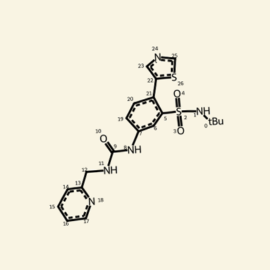 CC(C)(C)NS(=O)(=O)c1cc(NC(=O)NCc2ccccn2)ccc1-c1cncs1